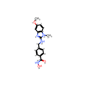 COc1ccc2c(c1)nc(NCc1ccc(C(=O)NO)cc1)n2C